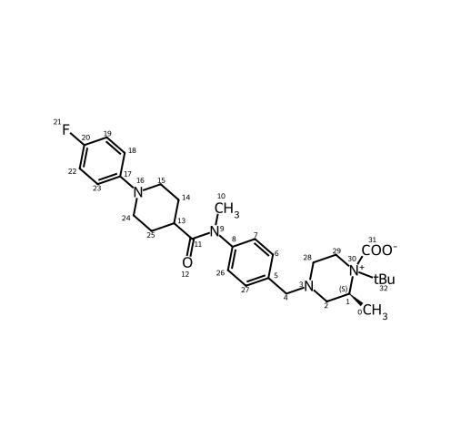 C[C@H]1CN(Cc2ccc(N(C)C(=O)C3CCN(c4ccc(F)cc4)CC3)cc2)CC[N+]1(C(=O)[O-])C(C)(C)C